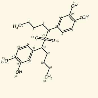 CCCCC(c1ccc(O)c(O)c1)S(=O)(=O)C(CCCC)c1ccc(O)c(O)c1